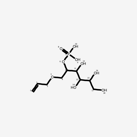 C=CCOCC(OP(=O)(O)O)C(O)C(O)C(O)CO